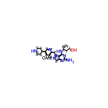 CCCC(CCO)Nc1nc(N)nc2cnn(Cc3ncc(C4CCNCC4)cc3OC)c12